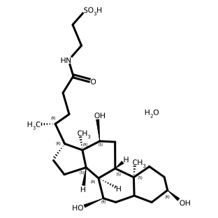 C[C@H](CCC(=O)NCCS(=O)(=O)O)[C@H]1CC[C@H]2[C@@H]3[C@H](O)CC4C[C@H](O)CC[C@]4(C)[C@H]3C[C@H](O)[C@]12C.O